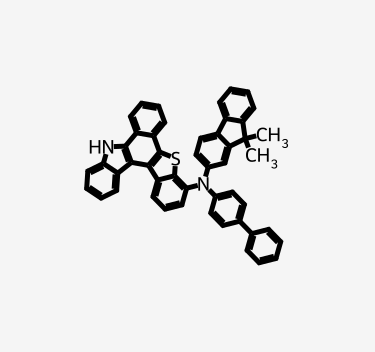 CC1(C)c2ccccc2-c2ccc(N(c3ccc(-c4ccccc4)cc3)c3cccc4c3sc3c5ccccc5c5[nH]c6ccccc6c5c43)cc21